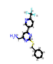 NCc1cc(-c2ccc(C(F)(F)F)nc2)nc(SCc2ccccc2)n1